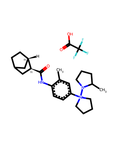 Cc1cc([N+]2(N3CCCC3C)CCCC2)ccc1NC(=O)[C@H]1CC2CC[C@H]1C2.O=C(O)C(F)(F)F